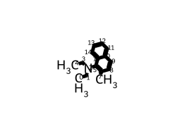 CCN(CC)c1c(C)ccc2ccccc12